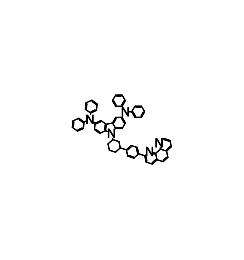 c1ccc(N(c2ccccc2)c2ccc3c(c2)c2cc(N(c4ccccc4)c4ccccc4)ccc2n3C2CCCC(c3ccc(-c4ccc5ccc6cccnc6c5n4)cc3)C2)cc1